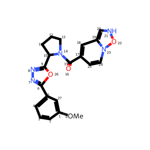 COc1cccc(-c2nnc(C3CCCN3C(=O)C3=CC4=CNON4C=C3)o2)c1